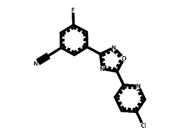 N#Cc1cc(F)cc(-c2noc(-c3ccc(Cl)cn3)n2)c1